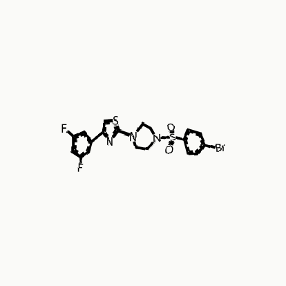 O=S(=O)(c1ccc(Br)cc1)N1CCN(c2nc(-c3cc(F)cc(F)c3)cs2)CC1